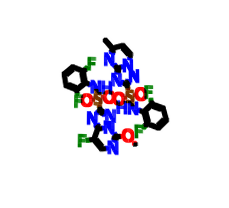 COc1ncc(F)c2nc(S(=O)(=O)Nc3c(F)cccc3F)nn12.Cc1ccn2nc(S(=O)(=O)Nc3c(F)cccc3F)nc2n1